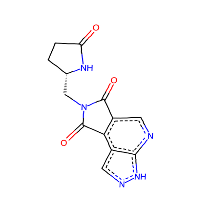 O=C1CC[C@@H](CN2C(=O)c3cnc4[nH]ncc4c3C2=O)N1